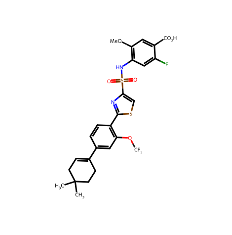 COc1cc(C(=O)O)c(F)cc1NS(=O)(=O)c1csc(-c2ccc(C3=CCC(C)(C)CC3)cc2OC(F)(F)F)n1